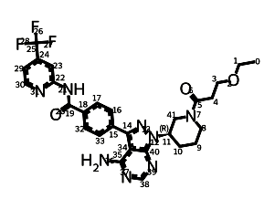 CCOCCC(=O)N1CCC[C@@H](n2nc(-c3ccc(C(=O)Nc4cc(C(F)(F)F)ccn4)cc3)c3c(N)ncnc32)C1